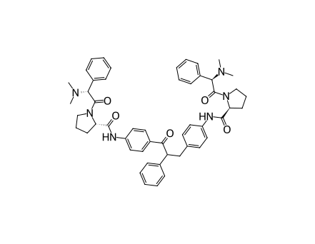 CN(C)[C@@H](C(=O)N1CCC[C@H]1C(=O)Nc1ccc(CC(C(=O)c2ccc(NC(=O)[C@@H]3CCCN3C(=O)[C@@H](c3ccccc3)N(C)C)cc2)c2ccccc2)cc1)c1ccccc1